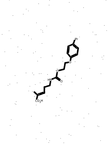 CC(=CCCNC(=O)OCCOc1ccc(C(C)C)cc1)C(=O)O